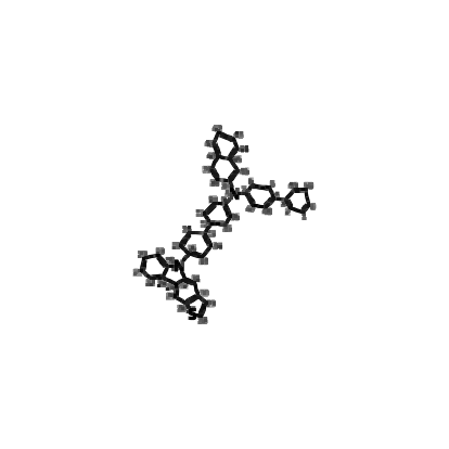 c1ccc(-c2ccc(N(c3ccc(-c4ccc(-n5c6ccccc6c6cc7sccc7cc65)cc4)cc3)c3ccc4ccccc4c3)cc2)cc1